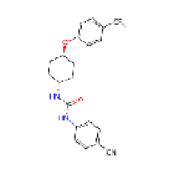 N#Cc1ccc(NC(=O)N[C@H]2CC[C@H](Oc3ccc(C(F)(F)F)cc3)CC2)cc1